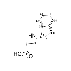 O=C(O)CCNc1csc2ccccc12